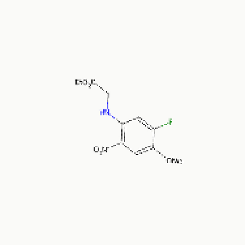 CCOC(=O)CNc1cc(F)c(OC)cc1[N+](=O)[O-]